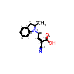 CC1Cc2ccccc2N1C/C=C(/C#N)C(=O)O